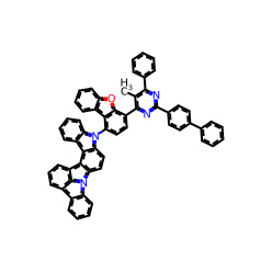 Cc1c(-c2ccccc2)nc(-c2ccc(-c3ccccc3)cc2)nc1-c1ccc(-n2c3ccccc3c3c4c5cccc6c7ccccc7n(c4ccc32)c65)c2c1oc1ccccc12